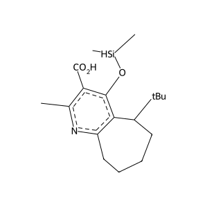 Cc1nc2c(c(O[SiH](C)C)c1C(=O)O)C(C(C)(C)C)CCCC2